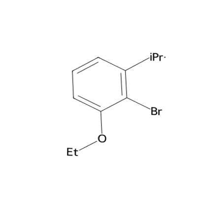 CCOc1cccc([C](C)C)c1Br